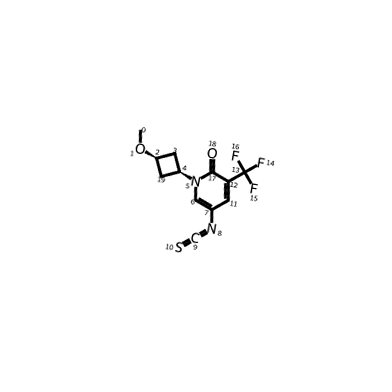 CO[C@H]1C[C@@H](n2cc(N=C=S)cc(C(F)(F)F)c2=O)C1